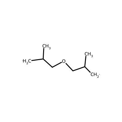 [CH2]C(C)COCC([CH2])C